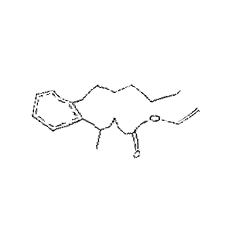 C=COC(=O)CC(C)c1ccccc1CCCCC